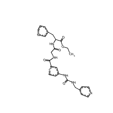 CCOC(=O)C(Cc1cccnc1)NC(=O)CNC(=O)c1cccc(NC(=O)NCc2ccncc2)c1